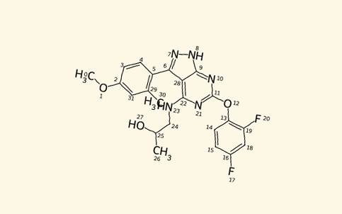 COc1ccc(-c2n[nH]c3nc(Oc4ccc(F)cc4F)nc(NCC(C)O)c23)c(C)c1